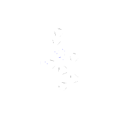 C1=C(c2nc(-c3ccccc3)nc(-c3ccc4ccccc4c3)n2)c2c(oc3cc(-c4cccc5oc6ccccc6c45)ccc23)CN1